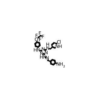 Nc1ccc(/C=N/Nc2nc(NCC3=CNC(Cl)C=C3)nc(Nc3ccc(OC(F)(F)C(F)F)cc3)n2)cc1